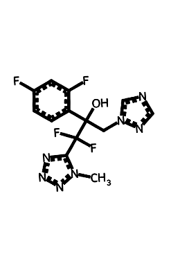 Cn1nnnc1C(F)(F)C(O)(Cn1cncn1)c1ccc(F)cc1F